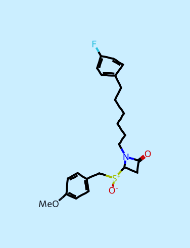 COc1ccc(C[S+]([O-])C2CC(=O)N2CCCCCCc2ccc(F)cc2)cc1